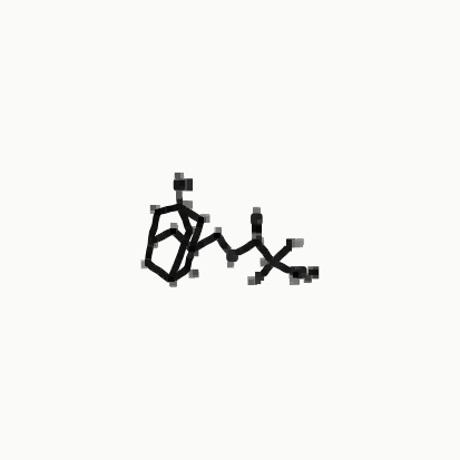 O=C(OCC12CC3CC(CC(O)(C3)C1)C2)C(F)(F)S(=O)(=O)O